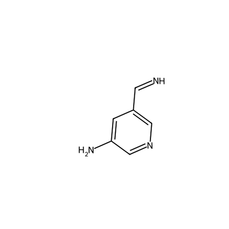 N=Cc1cncc(N)c1